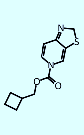 O=C(OCC1CCC1)N1C=CC2=NCSC2=C1